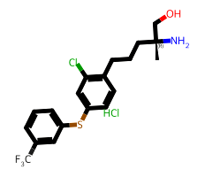 C[C@](N)(CO)CCCc1ccc(Sc2cccc(C(F)(F)F)c2)cc1Cl.Cl